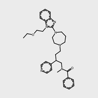 CCOCCn1c(N2CCCN(CCC(CN(C)C(=O)c3ccccc3)c3ccncc3)CC2)nc2ccccc21